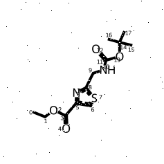 CCOC(=O)c1csc(CNC(=O)OC(C)(C)C)n1